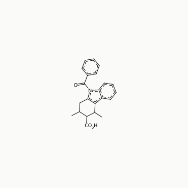 CC1Cc2c(c3ccccc3n2C(=O)c2ccccc2)C(C)C1C(=O)O